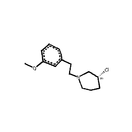 COc1cccc(CCN2CCC[C@@H](Cl)C2)c1